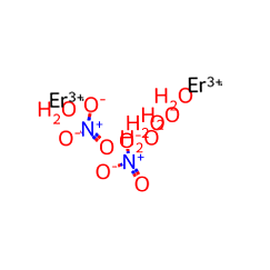 O.O.O.O.O.O=[N+]([O-])[O-].O=[N+]([O-])[O-].[Er+3].[Er+3]